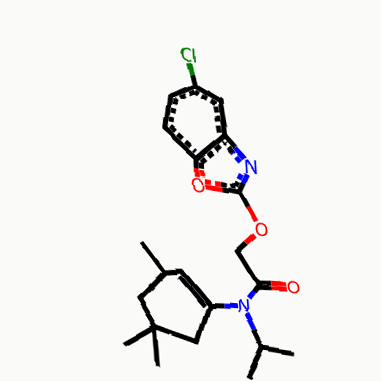 CC1C=C(N(C(=O)COc2nc3cc(Cl)ccc3o2)C(C)C)CC(C)(C)C1